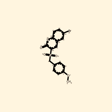 COc1ccc(CS(=O)(=O)c2cc3cc(Br)ccc3sc2=O)cc1